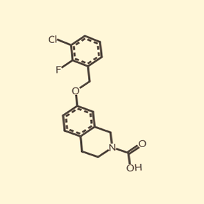 O=C(O)N1CCc2ccc(OCc3cccc(Cl)c3F)cc2C1